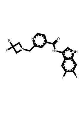 O=C(Nc1c[nH]c2cc(F)c(F)cc12)c1ccnc(CN2CC(F)(F)C2)c1